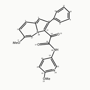 COc1ccc2cc(-c3ccccc3)c(C(=O)C(=O)Nc3ccc(OC)nc3)n2c1